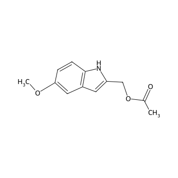 COc1ccc2[nH]c(COC(C)=O)cc2c1